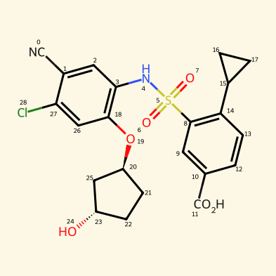 N#Cc1cc(NS(=O)(=O)c2cc(C(=O)O)ccc2C2CC2)c(O[C@H]2CC[C@H](O)C2)cc1Cl